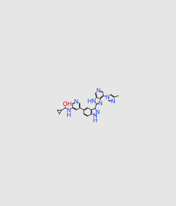 Cc1cn(-c2cncc3[nH]c(-c4n[nH]c5ccc(-c6cncc(NC(O)C7CC7)c6)cc45)nc23)cn1